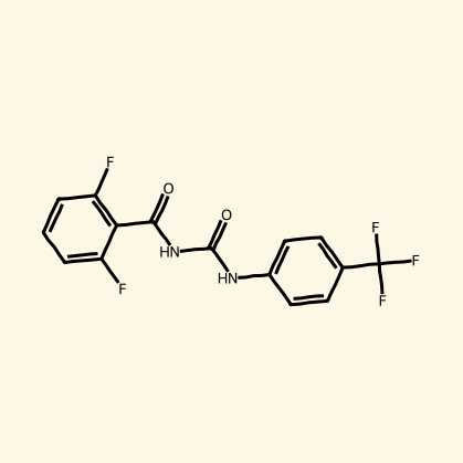 O=C(NC(=O)c1c(F)cccc1F)Nc1ccc(C(F)(F)F)cc1